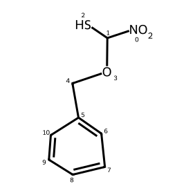 O=[N+]([O-])C(S)OCc1ccccc1